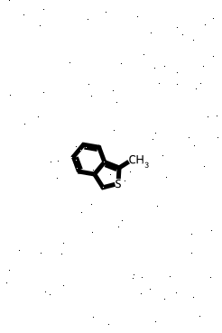 CC1=C2C=CC=CC2CS1